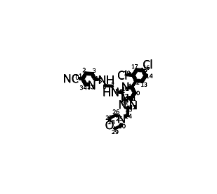 N#Cc1ccc(NCCNc2nc(-c3ccc(Cl)cc3Cl)cc3nc(CN4CCOCC4)nn23)nc1